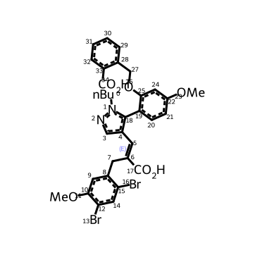 CCCCn1ncc(/C=C(\Cc2cc(OC)c(Br)cc2Br)C(=O)O)c1-c1ccc(OC)cc1OCc1ccccc1C(=O)O